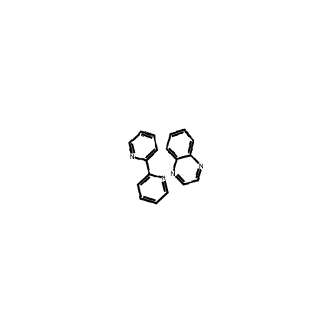 c1ccc(-c2ccccn2)nc1.c1ccc2nccnc2c1